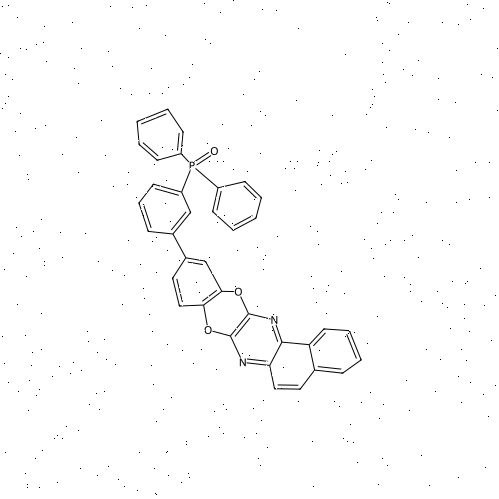 O=P(c1ccccc1)(c1ccccc1)c1cccc(-c2ccc3c(c2)Oc2nc4c(ccc5ccccc54)nc2O3)c1